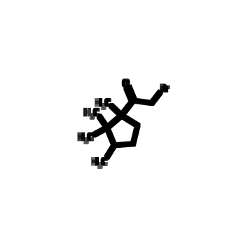 CC1CCC(C)(C(=O)CBr)C1(C)C